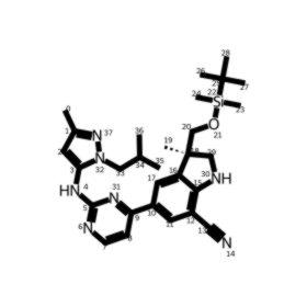 Cc1cc(Nc2nccc(-c3cc(C#N)c4c(c3)[C@@](C)(CO[Si](C)(C)C(C)(C)C)CN4)n2)n(CC(C)C)n1